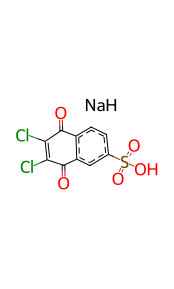 O=C1C(Cl)=C(Cl)C(=O)c2cc(S(=O)(=O)O)ccc21.[NaH]